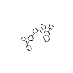 C(=C(\c1ccccc1)c1ccc(-c2cccc(-c3ccc4c(c3)c3ccccc3n4-c3ccccc3)c2)c2ccccc12)/c1ccccc1